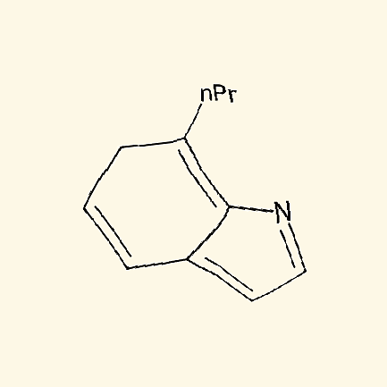 CCCC1=C2N=CC=C2C=CC1